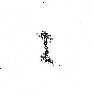 CN(C)C(=O)OC(C)(C(=O)N[C@H](c1nc2ccc(-c3ccc(-c4ccc5nc([C@@H](NC(=O)C(C)(OC(O)N(C)C)C6(C)CC6)C(C)(C)C)[nH]c5c4)cc3)cc2[nH]1)C(C)(C)C)C1(C)CC1